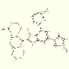 C[C@H]1CC[C@H](Cn2c(N3CCCC4OCCCC43)nc3nc(-c4noc(=O)[nH]4)nc(-c4cccc(Cl)c4)c32)CC1